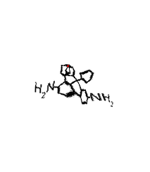 Nc1ccc2c(c1)C(c1ccccc1)(c1ccccc1)c1c-2ccc(N)c1-c1ccccc1